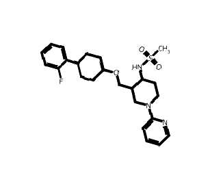 CS(=O)(=O)NC1CCN(c2ccccn2)CC1COC1CCC(c2ccccc2F)CC1